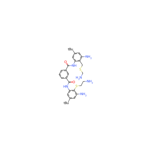 CC(C)(C)c1cc(N)c(CSCN)c(NC(=O)c2cccc(C(=O)Nc3cc(C(C)(C)C)cc(N)c3SCCN)c2)c1